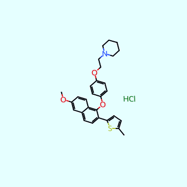 COc1ccc2c(Oc3ccc(OCCN4CCCCC4)cc3)c(-c3ccc(C)s3)ccc2c1.Cl